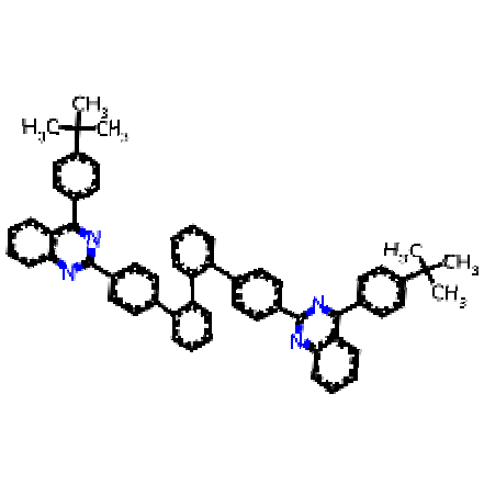 CC(C)(C)c1ccc(-c2nc(-c3ccc(-c4ccccc4-c4ccccc4-c4ccc(-c5nc(-c6ccc(C(C)(C)C)cc6)c6ccccc6n5)cc4)cc3)nc3ccccc23)cc1